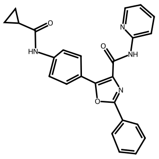 O=C(Nc1ccccn1)c1nc(-c2ccccc2)oc1-c1ccc(NC(=O)C2CC2)cc1